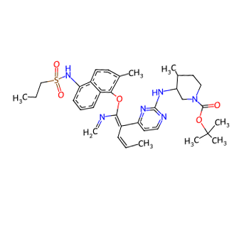 C=N/C(Oc1c(C)ccc2c(NS(=O)(=O)CCC)cccc12)=C(\C=C/C)c1ccnc(NC2CN(C(=O)OC(C)(C)C)CCC2C)n1